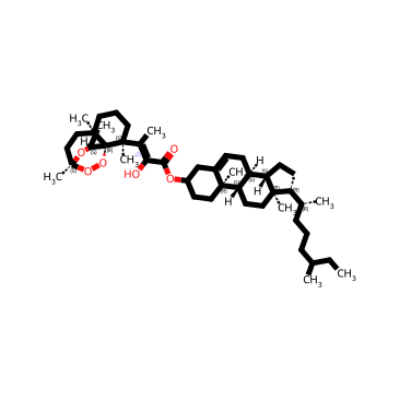 CCC(C)CCC[C@@H](C)[C@H]1CC[C@H]2[C@@H]3CC=C4CC(OC(=O)/C(O)=C(\C)[C@]5(C)CCC[C@]6(C)CC[C@]7(C)OO[C@]65[C@H](C)O7)CC[C@]4(C)[C@H]3CC[C@]12C